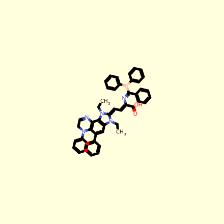 CCN1C(=CC=C(N=C(B(c2ccccc2)c2ccccc2)c2ccccc2)C(=O)O)N(CC)c2c1cc(-c1ccccc1)c1c2N=CCN1c1ccccc1